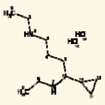 CCNCCCC(NCC)C1CC1.Cl.Cl